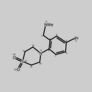 CNCc1cc(C(C)C)ccc1N1CCS(=O)(=O)CC1